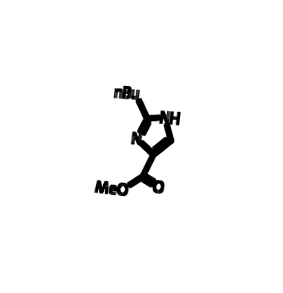 CCCCc1nc(C(=O)OC)c[nH]1